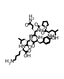 CC(C)C[C@H](NC(=O)[C@H](Cc1ccc(O)cc1)NC(=O)[C@H](CCC(N)=O)NC(=O)[C@@H]1CCCN1C(=O)[C@@H](N)CC(C)C)C(=O)N[C@@H](CCCCN)C(=O)O